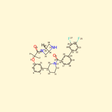 CC(C)(Oc1cccc(C2CCCN(C(=O)c3cccc(-c4ccc(F)c(F)c4)c3)C2)c1)C(=O)N1CC2NC[C@H]21